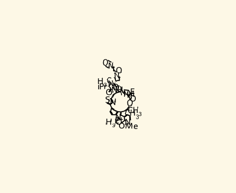 CCn1c(-c2cccnc2[C@H](C)OC)c2c3cc(ccc31)-c1csc(n1)C[C@H](NC(=O)[C@H](C(C)C)N(C)C(=O)[C@H]1CCN(C(=O)/C=C/N3CCOCC3)C1)C(=O)N1CCC(F)(F)[C@H](N1)C(=O)OCC(C)(C)C2